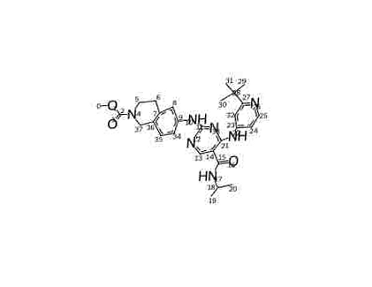 COC(=O)N1CCc2cc(Nc3ncc(C(=O)NC(C)C)c(Nc4ccnc(C(C)(C)C)c4)n3)ccc2C1